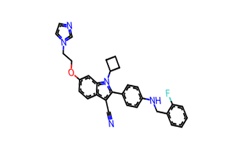 N#Cc1c(-c2ccc(NCc3ccccc3F)cc2)n(C2CCC2)c2cc(OCCn3ccnc3)ccc12